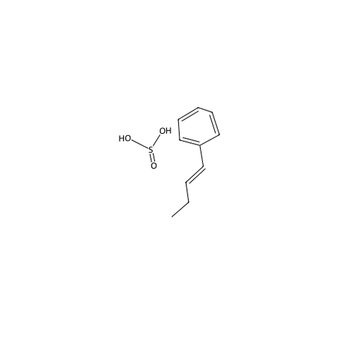 CCC=Cc1ccccc1.O=S(O)O